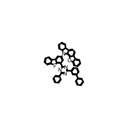 C1=CC2c3ccc4c(oc5ccccc54)c3N(c3cc(-c4nc(-c5ccccc5)nc(-c5cccc(-c6ccccc6)c5)n4)c4sc5ccccc5c4c3)C2C=C1